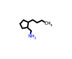 CCCCC1CCCC1CN